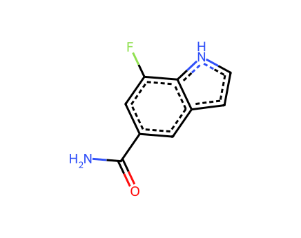 NC(=O)c1cc(F)c2[nH]ccc2c1